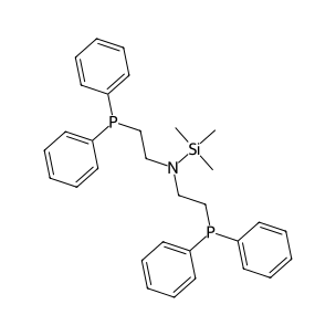 C[Si](C)(C)N(CCP(c1ccccc1)c1ccccc1)CCP(c1ccccc1)c1ccccc1